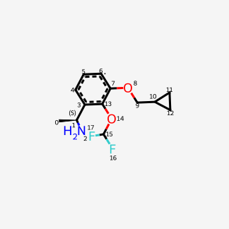 C[C@H](N)c1cc[c]c(OCC2CC2)c1OC(F)F